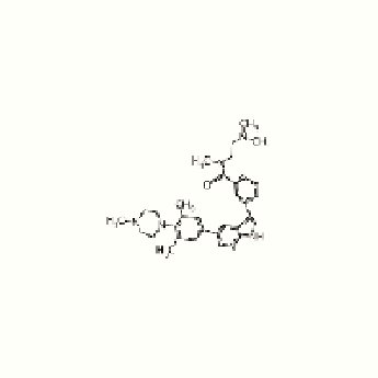 Cc1cc(-c2cnc3[nH]cc(-c4cccc(C(=O)N(C)CCN(C)C)c4)c3c2)cc(C)c1N1CCN(C)CC1